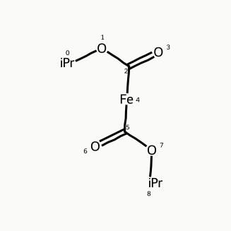 CC(C)O[C](=O)[Fe][C](=O)OC(C)C